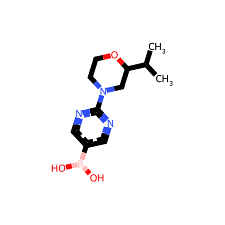 CC(C)C1CN(c2ncc(B(O)O)cn2)CCO1